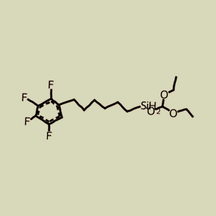 CCOC(OCC)O[SiH2]CCCCCCc1cc(F)c(F)c(F)c1F